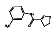 Cc1cccc(NC(=O)C2=CSCC2)c1